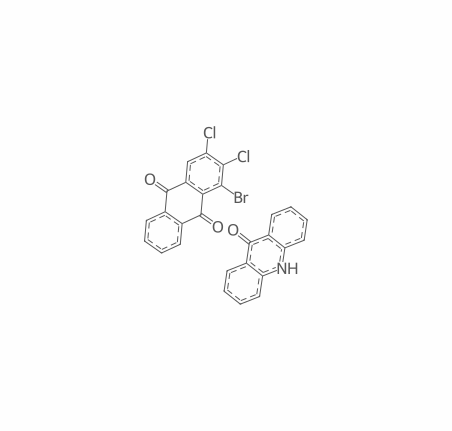 O=C1c2ccccc2C(=O)c2c1cc(Cl)c(Cl)c2Br.O=c1c2ccccc2[nH]c2ccccc12